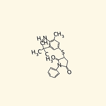 Cc1cc(SC2CC(=O)N(c3ccccc3)C2=O)cc(C(C)(C)C)c1N